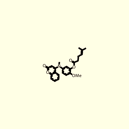 COc1ccc(N(C)c2cc(=O)oc3ccccc23)cc1OC(=O)CCC=C(C)C